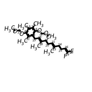 COCOc1c(C)c(C)c(OCOC)c(C/C=C(\C)CC/C=C(\C)CCC=C(F)F)c1C